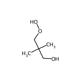 CC(C)(CO)COO